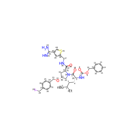 CCCCC(CC)CC[C@@H](NC(=O)OCc1ccccc1)C(=O)N1C[C@H](OCc2ccc(CI)cc2)C[C@H]1C(=O)NCc1cc(C(=N)N)cs1